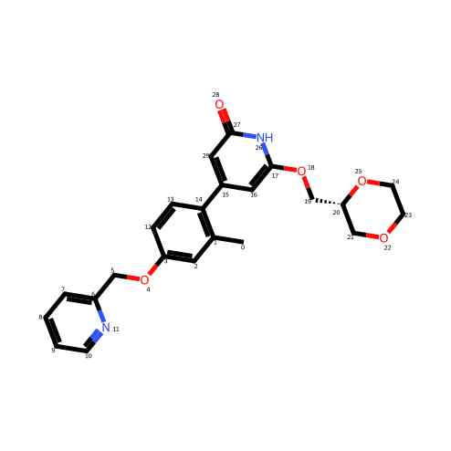 Cc1cc(OCc2ccccn2)ccc1-c1cc(OC[C@H]2COCCO2)[nH]c(=O)c1